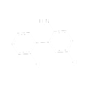 Nc1ccc(Cl)cc1-c1cc[c]cc1Cl